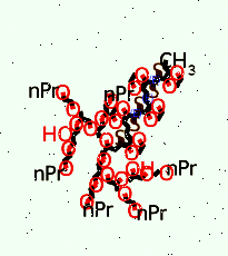 CCCOCCOCC(O)COC(COCCOCCC)COC(COCCOCCC)COCC(Cc1sc(C2S/C(=c3/s/c(=c4/s/c(=C5/SC(C)C6=C5OCCO6)c5c4OCCO5)c4c3OCCO4)C3=C2OCCO3)c2c1OCCO2)OCC(COCCOCCC)OCC(COCCOCCC)OCC(O)COCCOCCC